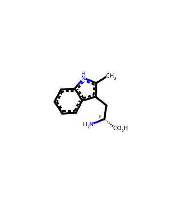 Cc1[nH]c2ccccc2c1C[C@@H](N)C(=O)O